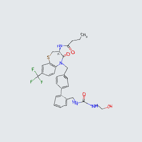 CCCC(=O)N[C@@H]1CSc2cc(C(F)(F)F)ccc2N(Cc2ccc(-c3ccccc3CNC(=O)NCCO)cc2)C1=O